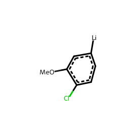 [Li][c]1ccc(Cl)c(OC)c1